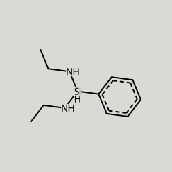 CCN[SiH](NCC)c1ccccc1